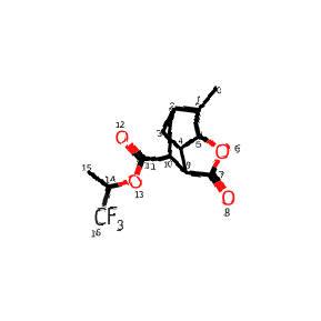 CC1C2CC3C1OC(=O)C3C2C(=O)OC(C)C(F)(F)F